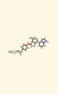 Cn1ccc2c(-c3ccc(F)c4c3CC[C@H]4Oc3ccc(C4CC4C(=O)O)cc3)cccc21